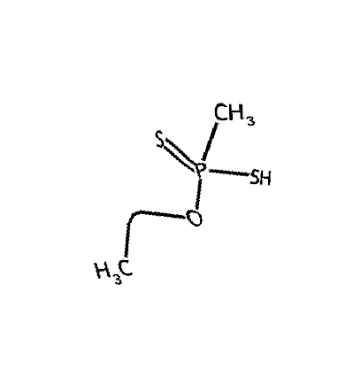 CCOP(C)(=S)S